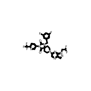 O=C1N(c2ccc(C(F)(F)F)nc2)C(=O)C2(CCN(c3cnc4cnn(CC(F)F)c4n3)CC2)N1Cc1cc(F)cc(F)c1